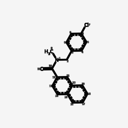 CN(Cc1ccc(Cl)cc1)C(=O)c1ccc2ccccc2c1